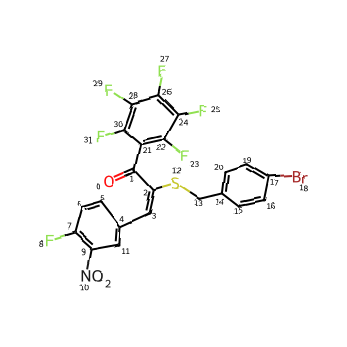 O=C(/C(=C\c1ccc(F)c([N+](=O)[O-])c1)SCc1ccc(Br)cc1)c1c(F)c(F)c(F)c(F)c1F